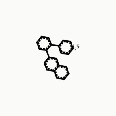 S.c1ccc(-c2ccccc2-c2ccc3ccccc3c2)cc1